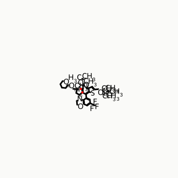 CC(C)(C)OC(=O)N1C[C@@H](N2CCOc3cc(C(F)(F)F)cc(-c4ccnc5cc(CO[Si](C)(C)C(C)(C)C)sc45)c32)C[C@@]1(C)CO[C@H]1CCCCO1